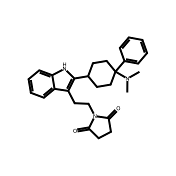 CN(C)C1(c2ccccc2)CCC(c2[nH]c3ccccc3c2CCN2C(=O)CCC2=O)CC1